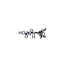 CCO[Si](CCCNC(=O)/N=N/C(=O)O)(OCC)OCC